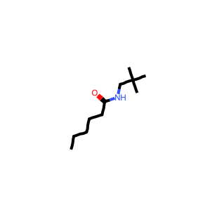 CCCCCC(=O)NCC(C)(C)C